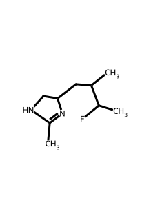 CC1=NC(CC(C)C(C)F)CN1